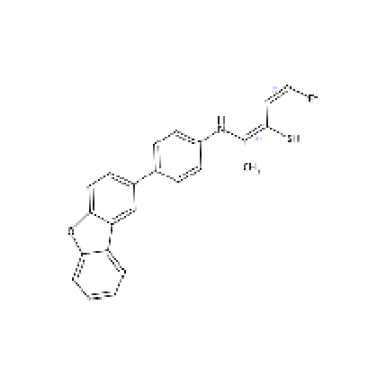 CC/C=C\C(S)=C(\C)Nc1ccc(-c2ccc3oc4ccccc4c3c2)cc1